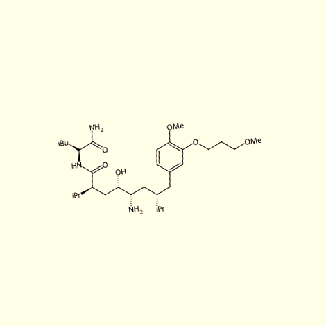 CC[C@H](C)[C@H](NC(=O)[C@@H](C[C@H](O)[C@@H](N)C[C@H](Cc1ccc(OC)c(OCCCOC)c1)C(C)C)C(C)C)C(N)=O